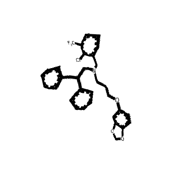 FC(F)(F)c1cccc(CN(CCCOc2ccc3c(c2)OCO3)CC(c2ccccc2)c2ccccc2)c1Cl